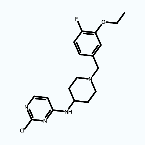 CCOc1cc(CN2CCC(Nc3ccnc(Cl)n3)CC2)ccc1F